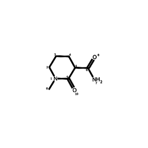 CN1CCCC(C(N)=O)C1=O